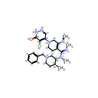 C=NC1=C(/C(=N\C)N(C)[C@@H]2CN(Cc3ccccc3)CC[C@@H]2C)CCN(c2cn[nH]c(=O)c2Cl)C1